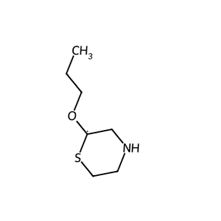 CCCO[C]1CNCCS1